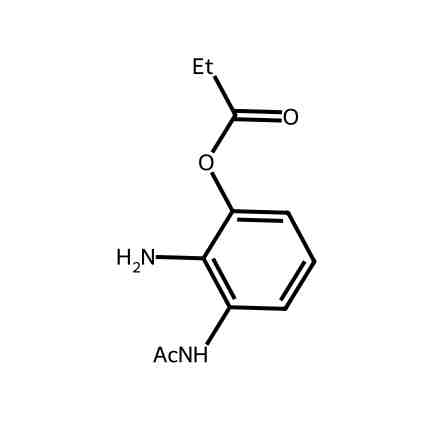 CCC(=O)Oc1cccc(NC(C)=O)c1N